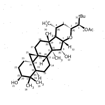 CC(=O)O[C@@H]([C@H]1C[C@@H](C)C2[C@H](O1)[C@H](O)[C@@]1(C)[C@@H]3CC[C@H]4C(C)(C)[C@@H](O)CC[C@@]45C[C@@]35CC[C@]21C)C(C)(C)C